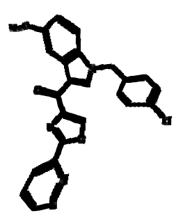 COc1ccc2c(c1)c(C(=O)c1coc(-c3cccnn3)n1)cn2Cc1ccc(Cl)cc1